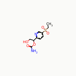 CCS(=O)(=O)c1ccc(C(CO)OC(N)=O)nc1